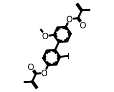 C=C(C)C(=O)Oc1ccc(-c2ccc(OC(=O)C(=C)C)cc2OC)c(I)c1